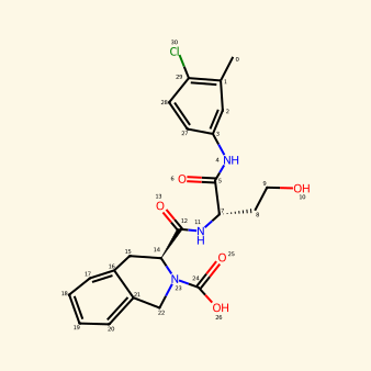 Cc1cc(NC(=O)[C@H](CCO)NC(=O)[C@@H]2Cc3ccccc3CN2C(=O)O)ccc1Cl